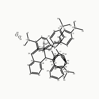 CN(C)c1ccc(P(c2ccc(N(C)C)cc2)c2ccc3ccccc3c2C2c3ccccc3C=C[C]2([Ru+2])P(c2ccc(N(C)C)cc2)c2ccc(N(C)C)cc2)cc1.[Cl-].[Cl-]